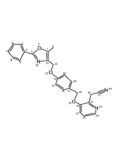 Cc1oc(-c2ccccc2)nc1COc1ccc(COc2cccnc2CC#N)cc1